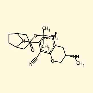 CN[C@H]1COc2c(C#N)c(N3CC4CCC(C3)N4C(=O)OC(C)(C)C)cc(F)c2C1